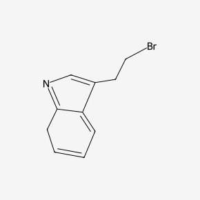 BrCCC1=CN=C2CC=CC=C12